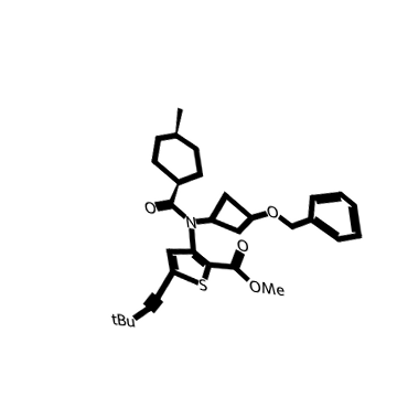 COC(=O)c1sc(C#CC(C)(C)C)cc1N(C(=O)[C@H]1CC[C@@H](C)CC1)C1CC(OCc2ccccc2)C1